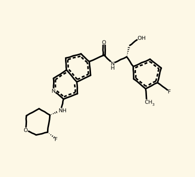 Cc1cc([C@@H](CO)NC(=O)c2ccc3cnc(N[C@H]4CCOC[C@H]4F)cc3c2)ccc1F